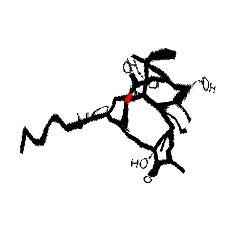 CCCCCCCCCC(=O)O[C@@]12[C@H](O)[C@@H](C)[C@@]3(CC)[C@@H](C=C(CO)C[C@]4(O)C(=O)C(C)=C[C@@]34C)[C@H]1C2(C)C